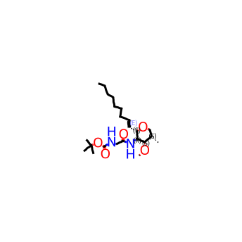 CCCCCCC/C=C/[C@@H]1OC[C@H](C)[C@H](OC)[C@H]1NC(=O)CNC(=O)OC(C)(C)C